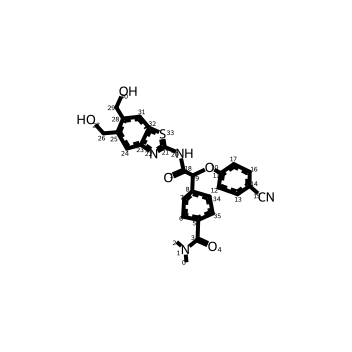 CN(C)C(=O)c1ccc(C(Oc2ccc(C#N)cc2)C(=O)Nc2nc3cc(CO)c(CO)cc3s2)cc1